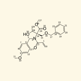 C=CC(=O)N(Cc1ccc(OC)cc1)[C@@](COCc1ccccc1)(C(=O)OC)C(C)O